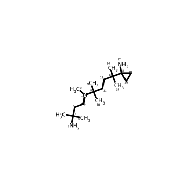 CN(CCC(C)(C)N)C(C)(C)CCC(C)(C)C1(N)CC1